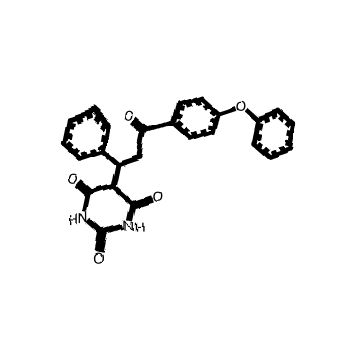 O=C1NC(=O)C(C(CC(=O)c2ccc(Oc3ccccc3)cc2)c2ccccc2)C(=O)N1